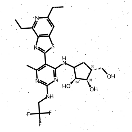 CCc1cc2sc(-c3c(C)nc(NCC(F)(F)F)nc3NC3C[C@H](CO)[C@@H](O)[C@H]3O)nc2c(CC)n1